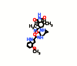 COc1cccc2[nH]c(C(=O)N[C@@H](CC3CC3)C(=O)N[C@@]3(C#N)C[C@H](C)[C@@H]4C(=O)NC(=O)[C@@H]4[C@@H]3C)cc12